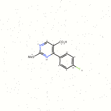 CSc1ncc(C(=O)O)c(-c2ccc(F)cc2)n1